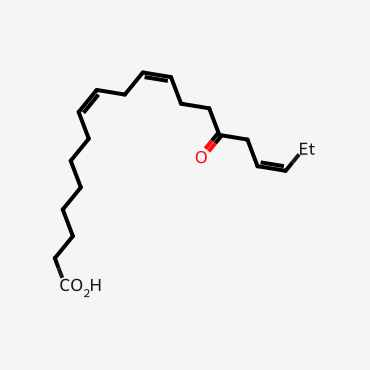 CC/C=C\CC(=O)CC/C=C\C/C=C\CCCCCCC(=O)O